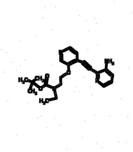 CCN(CCOc1cnccc1C#Cc1ncccc1N)C(=O)OC(C)(C)C